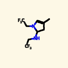 CC1=CN(CC(F)(F)F)C(NCC(F)(F)F)C1